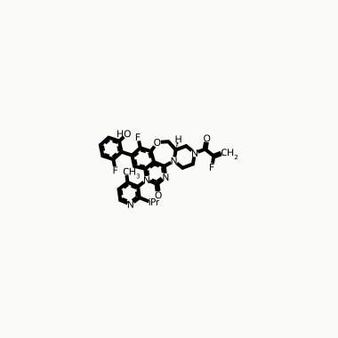 C=C(F)C(=O)N1CCN2c3nc(=O)n(-c4c(C)ccnc4C(C)C)c4cc(-c5c(O)cccc5F)c(F)c(c34)OC[C@H]2C1